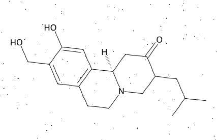 CC(C)CC1CN2CCc3cc(CO)c(O)cc3[C@H]2CC1=O